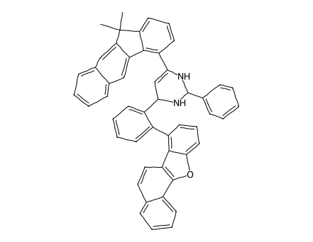 CC1(C)c2cc3ccccc3cc2-c2c(C3=CC(c4ccccc4-c4cccc5oc6c7ccccc7ccc6c45)NC(c4ccccc4)N3)cccc21